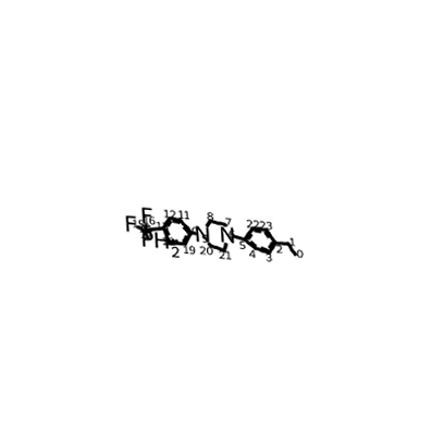 CCc1ccc(N2CCN(c3ccc(C(F)(F)P)cc3)CC2)cc1